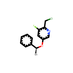 [CH2]C[C@H](Oc1cnc(CCl)c(F)c1)c1ccccc1